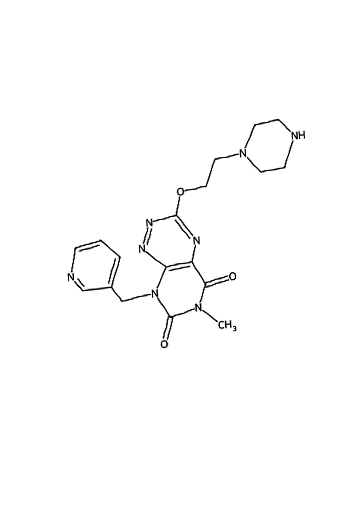 Cn1c(=O)c2nc(OCCN3CCNCC3)nnc2n(Cc2cccnc2)c1=O